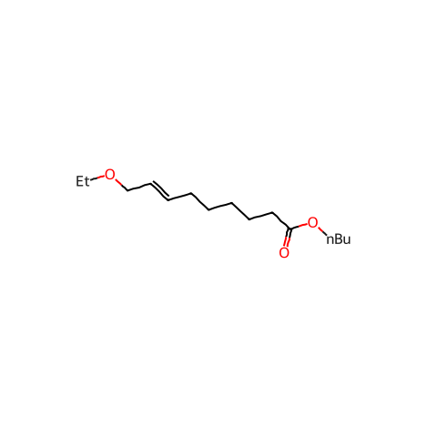 CCCCOC(=O)CCCCC/C=C/COCC